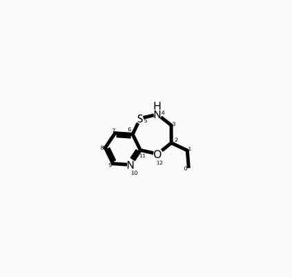 CCC1CNSc2cccnc2O1